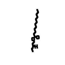 CCCCCCCCCCCC(=O)OCCPCC